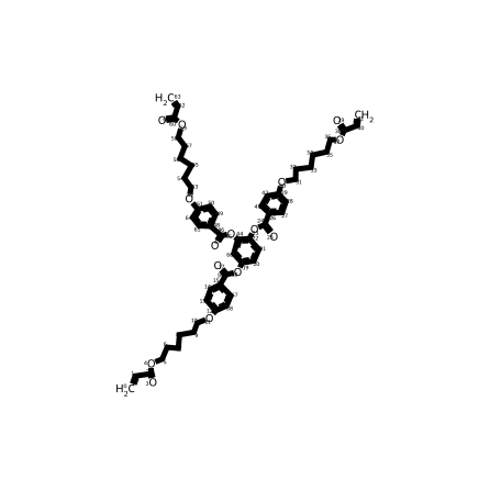 C=CC(=O)OCCCCCCOc1ccc(C(=O)Oc2ccc(OC(=O)c3ccc(OCCCCCCOC(=O)C=C)cc3)c(OC(=O)c3ccc(OCCCCCCOC(=O)C=C)cc3)c2)cc1